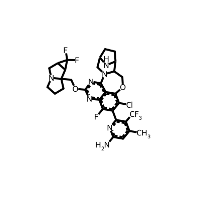 Cc1cc(N)nc(-c2c(Cl)c3c4c(nc(OCC56CCCN5CC5C6C5(F)F)nc4c2F)N2CC4CCC(N4)C2CO3)c1C(F)(F)F